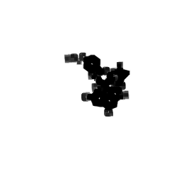 O=C(O)c1ccc2c3n(nc2c1)C[C@@H]1[C@H](CO3)N(CC2CC2(F)F)[C@@]2(C(=O)Nc3cc(Cl)ccc32)[C@H]1c1cccc(Cl)c1F